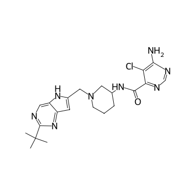 CC(C)(C)c1ncc2[nH]c(CN3CCCC(NC(=O)c4ncnc(N)c4Cl)C3)cc2n1